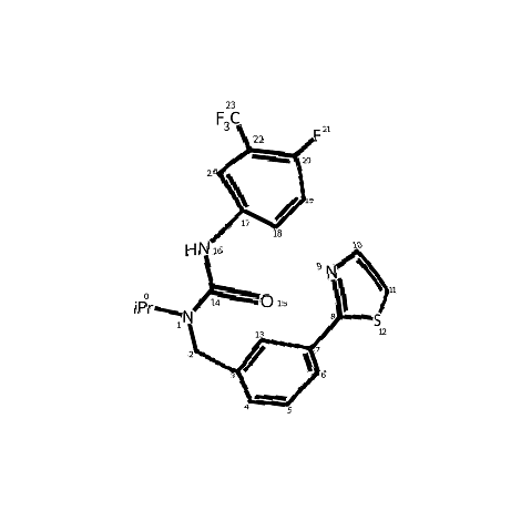 CC(C)N(Cc1cccc(-c2nccs2)c1)C(=O)Nc1ccc(F)c(C(F)(F)F)c1